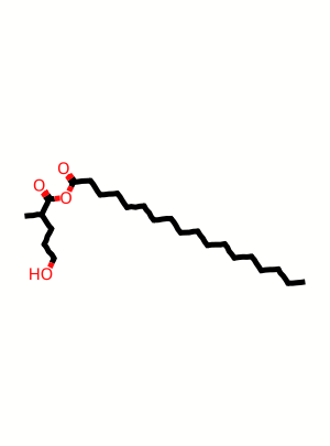 CCCCCCCCCCCCCCCCCC(=O)OC(=O)C(C)CCCO